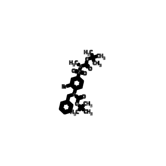 CN(C(=O)OC(C)(C)C)S(=O)(=O)c1ccc(N(Cc2ccccc2)C(=O)OC(C)(C)C)c(Br)c1